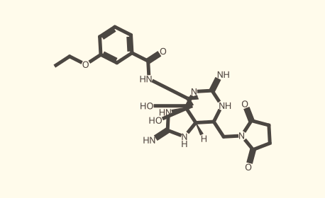 CCOc1cccc(C(=O)NC2CN3C(=N)NC(CN4C(=O)CCC4=O)[C@@H]4NC(=N)N[C@@]43C2(O)O)c1